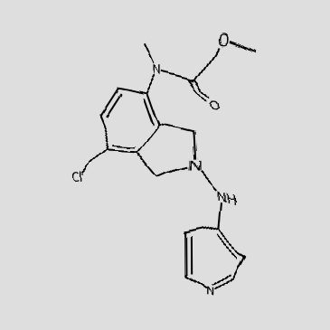 COC(=O)N(C)c1ccc(Cl)c2c1CN(Nc1ccncc1)C2